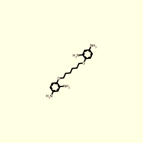 Nc1ccc(OCCCCCCOc2ccc(N)cc2N)c(N)c1